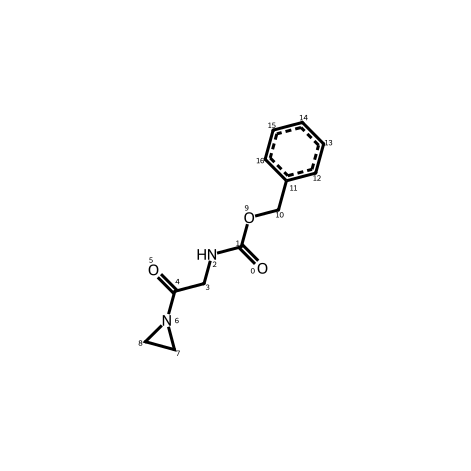 O=C(NCC(=O)N1CC1)OCc1ccccc1